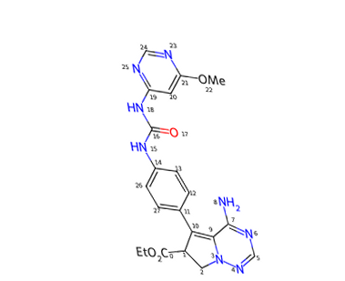 CCOC(=O)C1CN2N=CN=C(N)C2=C1c1ccc(NC(=O)Nc2cc(OC)ncn2)cc1